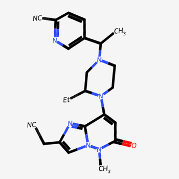 CCC1CN(C(C)c2ccc(C#N)nc2)CCN1c1cc(=O)n(C)n2cc(CC#N)nc12